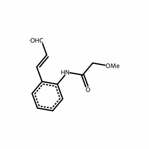 COCC(=O)Nc1ccccc1/C=C/[C]=O